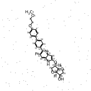 COCCOc1ccc(-c2ccc(-c3nc4cc(O[C@@H]5CO[C@H]6[C@@H]5OC[C@H]6O)[nH]c4cc3F)cc2)cc1